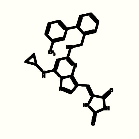 O=C1NC(=O)/C(=C/c2cnn3c(NC4CC4)cc(NCc4ccccc4-c4cccc(C(F)(F)F)c4)nc23)N1